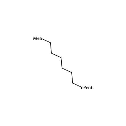 [CH2]SCCCCCCCCCCC